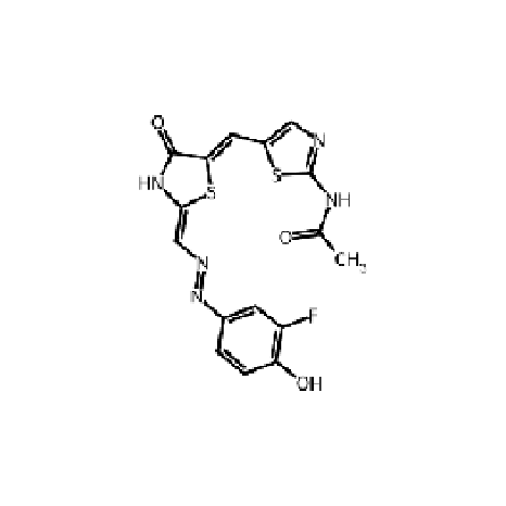 CC(=O)Nc1ncc(C=c2sc(=CN=Nc3ccc(O)c(F)c3)[nH]c2=O)s1